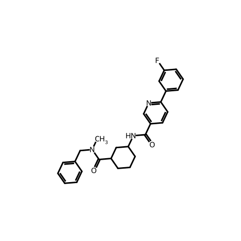 CN(Cc1ccccc1)C(=O)C1CCCC(NC(=O)c2ccc(-c3cccc(F)c3)nc2)C1